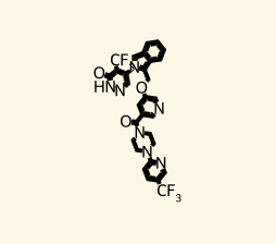 O=C(c1cncc(OCc2c3ccccc3cn2-c2cn[nH]c(=O)c2C(F)(F)F)c1)N1CCN(c2ccc(C(F)(F)F)cn2)CC1